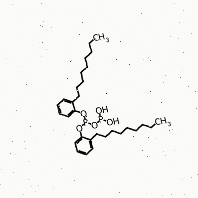 CCCCCCCCCc1ccccc1OP(Oc1ccccc1CCCCCCCCC)OP(O)O